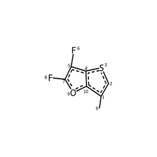 Cc1csc2c(F)c(F)oc12